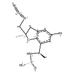 C[C@@H](N[S@+]([O-])C(C)(C)C)c1cc(Br)cc2c1O[C@@](C)(CN=[N+]=[N-])C2